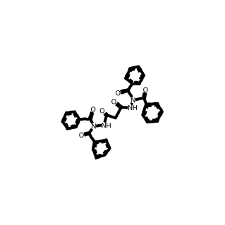 O=C(CC(=O)NN(C(=O)c1ccccc1)C(=O)c1ccccc1)NN(C(=O)c1ccccc1)C(=O)c1ccccc1